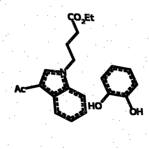 CCOC(=O)CCCn1cc(C(C)=O)c2ccccc21.Oc1ccccc1O